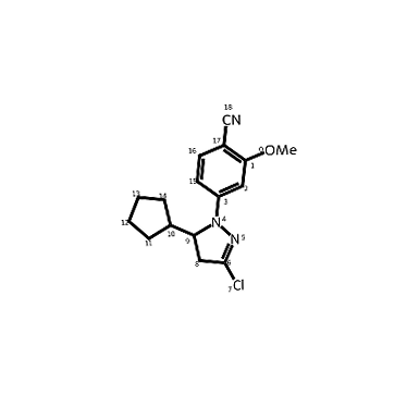 COc1cc(N2N=C(Cl)CC2C2CCCC2)ccc1C#N